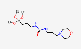 CCO[Si](CCCNC(=O)NCCCN1CCOCC1)(OCC)OCC